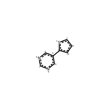 [c]1csc(-c2cncnc2)c1